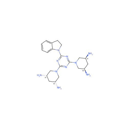 N[C@@H]1C[C@H](N)CN(c2nc(N3C[C@H](N)C[C@H](N)C3)nc(N3CCc4ccccc43)n2)C1